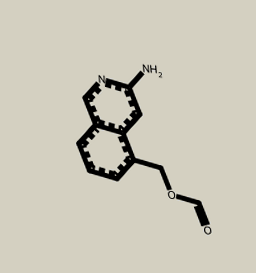 Nc1cc2c(COC=O)cccc2cn1